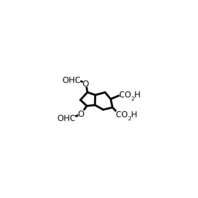 O=COC1CC(OC=O)C2CC(C(=O)O)C(C(=O)O)CC12